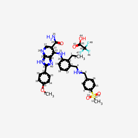 CCc1c(CNCc2ccc(S(C)(=O)=O)cc2)cccc1Nc1c(C(N)=O)cnc2[nH]c(-c3ccc(OC)cc3)nc12.O=C(O)C(F)(F)F